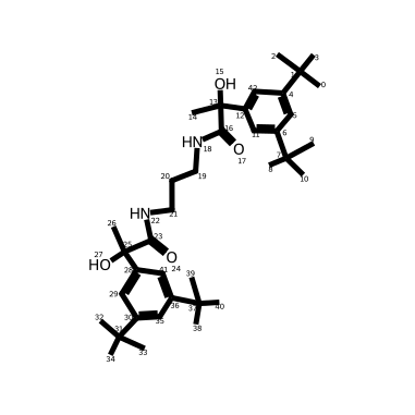 CC(C)(C)c1cc(C(C)(C)C)cc(C(C)(O)C(=O)NCCCNC(=O)C(C)(O)c2cc(C(C)(C)C)cc(C(C)(C)C)c2)c1